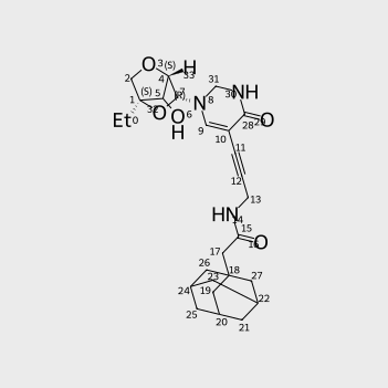 CC[C@]12CO[C@@H](C1O)[C@H](N1C=C(C#CCNC(=O)CC34CC5CC(CC(C5)C3)C4)C(=O)NC1)O2